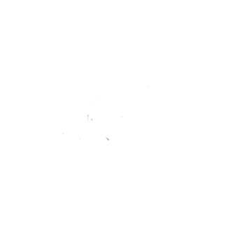 CN1C2CC[C@@H]1[C@H](C=O)[C@@H](c1ccc(Cl)cc1)C2